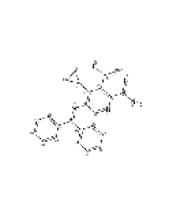 NC(=O)c1ncc(N=C(c2ccccc2)c2ccccc2)c(C2CC2)c1C(F)F